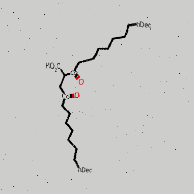 CCCCCCCCCCCCCCCC[CH2][Co](=[O])[CH2][CH](C(=O)O)[Co](=[O])[CH2]CCCCCCCCCCCCCCCC